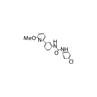 COc1cccc(-c2cccc(NC(=O)Nc3ccc(Cl)cc3)c2)n1